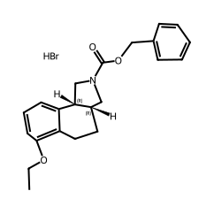 Br.CCOc1cccc2c1CC[C@H]1CN(C(=O)OCc3ccccc3)C[C@@H]21